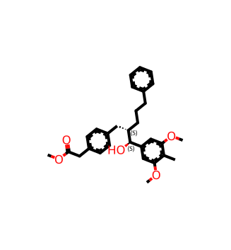 COC(=O)Cc1ccc(C[C@H](CCCc2ccccc2)[C@H](O)c2cc(OC)c(C)c(OC)c2)cc1